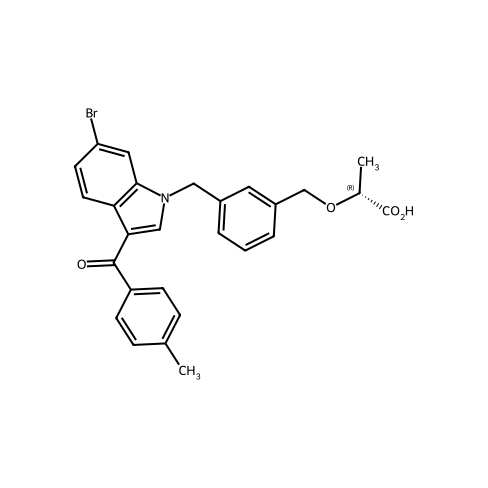 Cc1ccc(C(=O)c2cn(Cc3cccc(CO[C@H](C)C(=O)O)c3)c3cc(Br)ccc23)cc1